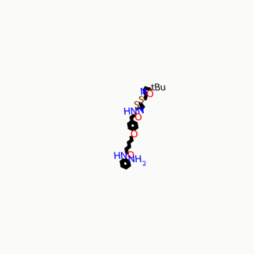 CC(C)(C)C1CN=C(CSc2cnc(NC(=O)Cc3ccc(OCCCCCC(=O)Nc4ccccc4N)cc3)s2)O1